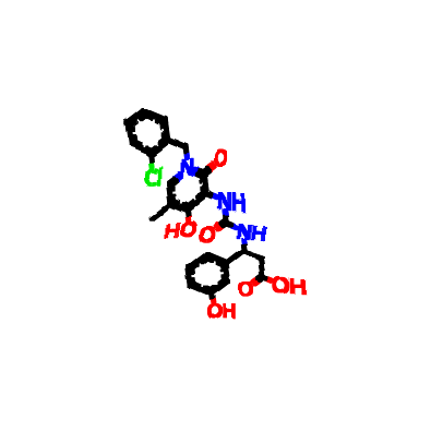 Cc1cn(Cc2ccccc2Cl)c(=O)c(NC(=O)N[C@@H](CC(=O)O)c2cccc(O)c2)c1O